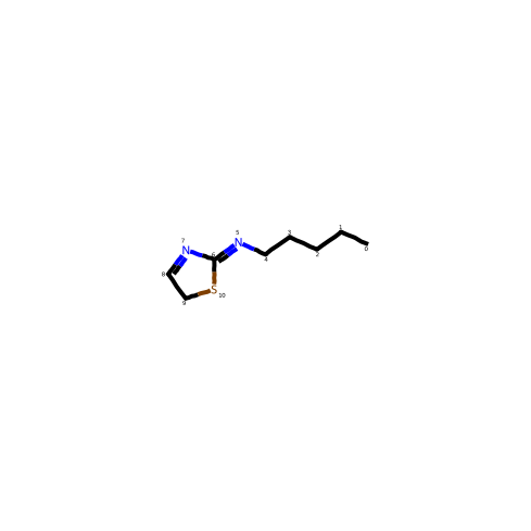 CCCCCN=C1N=CCS1